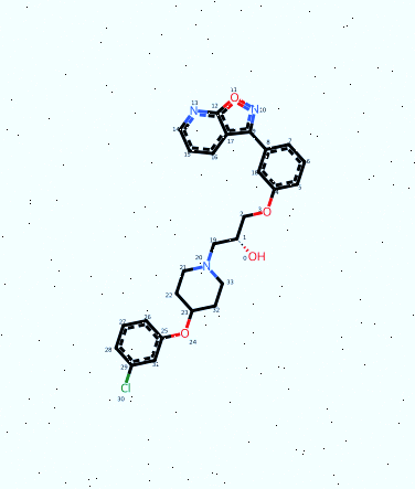 O[C@@H](COc1cccc(-c2noc3ncccc23)c1)CN1CCC(Oc2cccc(Cl)c2)CC1